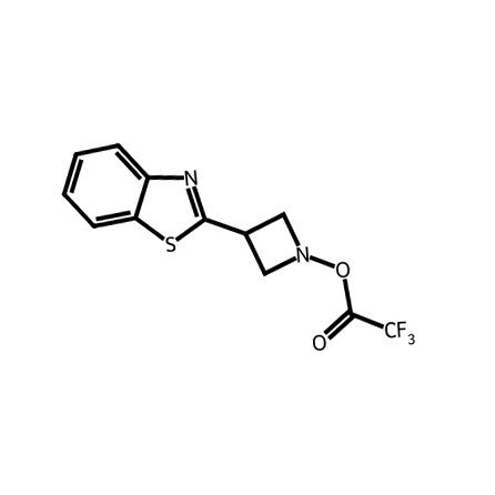 O=C(ON1CC(c2nc3ccccc3s2)C1)C(F)(F)F